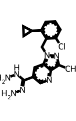 Cc1nn(Cc2c(Cl)cccc2C2CC2)c2cc(/C(=N/N)NN)cnc12